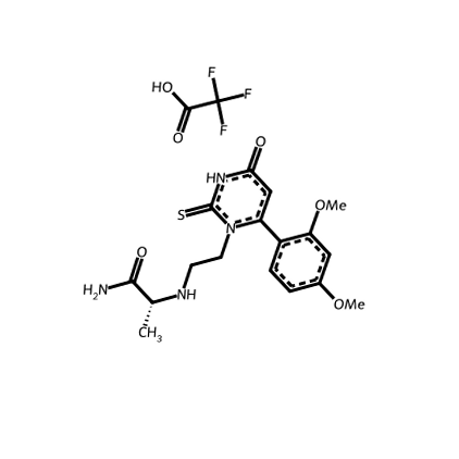 COc1ccc(-c2cc(=O)[nH]c(=S)n2CCN[C@H](C)C(N)=O)c(OC)c1.O=C(O)C(F)(F)F